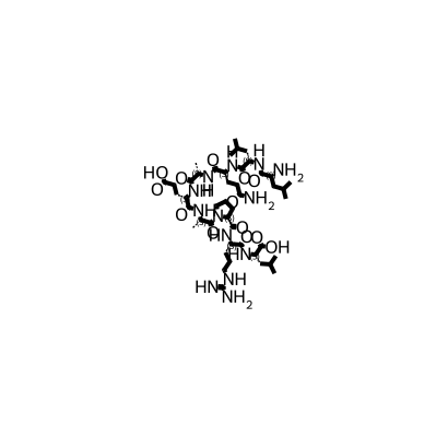 CC(C)C[C@H](NC(=O)[C@H](CCCNC(=N)N)NC(=O)[C@@H]1CCCN1C(=O)[C@H](C)NC(=O)[C@H](CCC(=O)O)NC(=O)[C@H](C)NC(=O)[C@H](CCC(N)=O)NC(=O)[C@H](CC(C)C)NC(=O)[C@@H](N)CC(C)C)C(=O)O